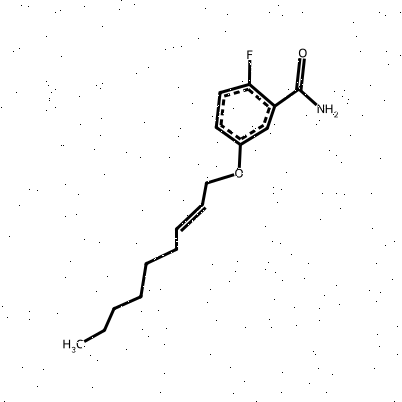 CCCCCCC=CCOc1ccc(F)c(C(N)=O)c1